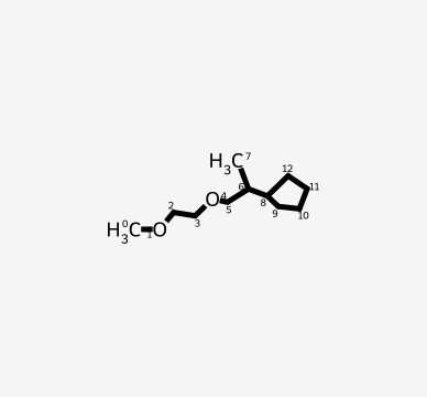 COCCOCC(C)C1CCCC1